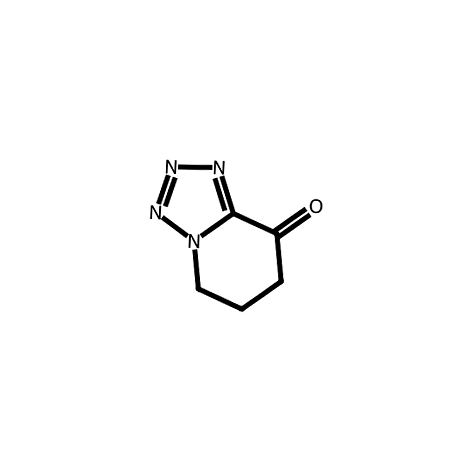 O=C1CCCn2nnnc21